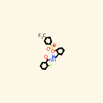 O=C(N/N=C/c1ccccc1OS(=O)(=O)c1ccc(C(F)(F)F)cc1)c1ccccc1F